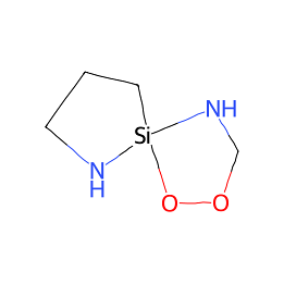 C1CN[Si]2(C1)NCOO2